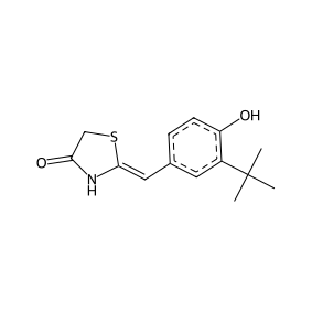 CC(C)(C)c1cc(C=C2NC(=O)CS2)ccc1O